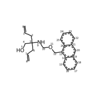 C=CCC(CO)(CC=C)NCOCc1c2ccccc2cc2ccccc12